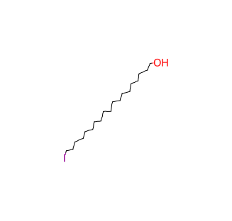 OCCCCCCCCCCCCCCCCCCCI